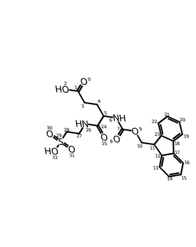 O=C(O)CCC(NC(=O)OCC1c2ccccc2-c2ccccc21)C(=O)NCCS(=O)(=O)O